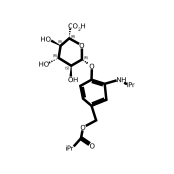 CC(C)Nc1cc(COC(=O)C(C)C)ccc1O[C@H]1O[C@@H](C(=O)O)[C@H](O)[C@@H](O)[C@@H]1O